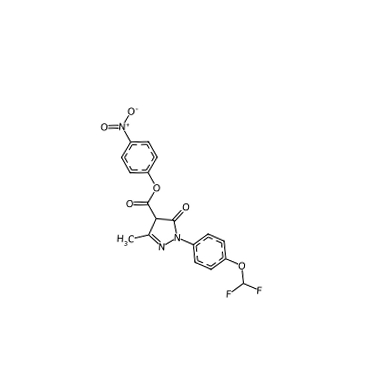 CC1=NN(c2ccc(OC(F)F)cc2)C(=O)C1C(=O)Oc1ccc([N+](=O)[O-])cc1